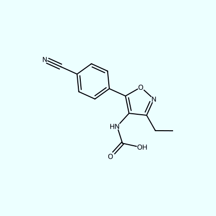 CCc1noc(-c2ccc(C#N)cc2)c1NC(=O)O